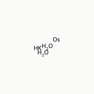 O.O.[KH].[Os]